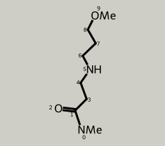 CNC(=O)CCNCCCOC